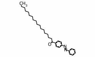 CCCCCCCCCCCCCCCCCC(=O)c1ccc(N=Nc2ccccc2)cc1